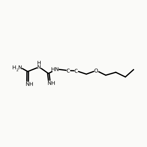 CCCCOCCCNC(=N)NC(=N)N